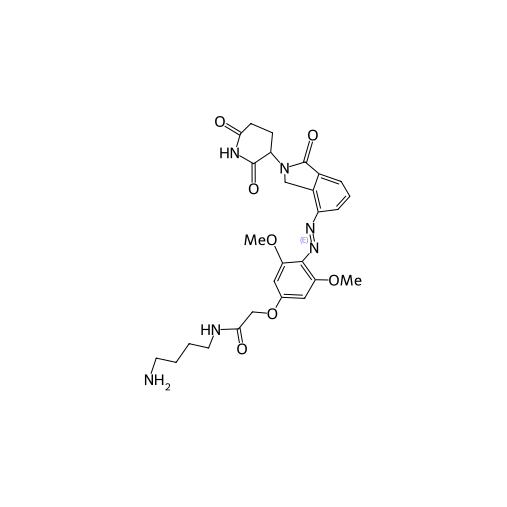 COc1cc(OCC(=O)NCCCCN)cc(OC)c1/N=N/c1cccc2c1CN(C1CCC(=O)NC1=O)C2=O